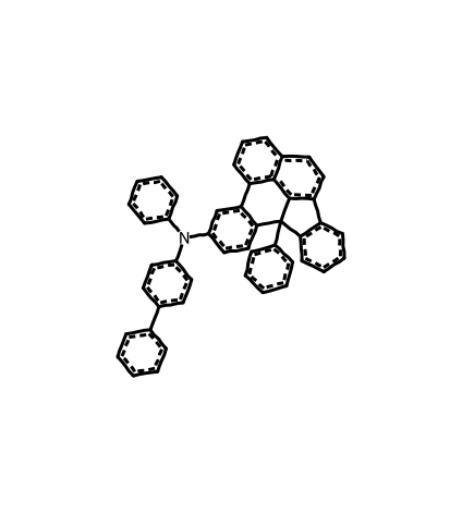 c1ccc(-c2ccc(N(c3ccccc3)c3ccc4c(c3)-c3cccc5ccc6c(c35)C4(c3ccccc3)c3ccccc3-6)cc2)cc1